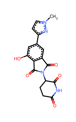 Cn1ccc(-c2cc(O)c3c(c2)C(=O)N(C2CCC(=O)NC2=O)C3=O)n1